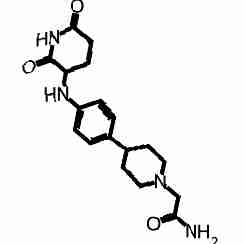 NC(=O)CN1CCC(c2ccc(NC3CCC(=O)NC3=O)cc2)CC1